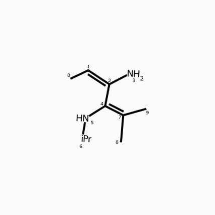 C/C=C(/N)C(NC(C)C)=C(C)C